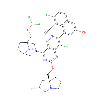 C#Cc1c(F)ccc2cc(O)cc(-c3ncc4c(N5CC6CCC(COC(F)F)(C5)N6)nc(OC[C@@]56CCCN5C[C@H](F)C6)nc4c3F)c12